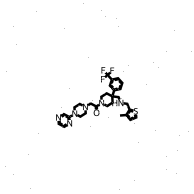 Cc1ccsc1CNCC1(c2cccc(C(F)(F)F)c2)CCN(C(=O)CN2CCN(c3cnccn3)CC2)CC1